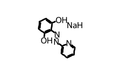 Oc1cccc(O)c1/N=N/c1ccccn1.[NaH]